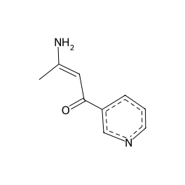 C/C(N)=C\C(=O)c1cccnc1